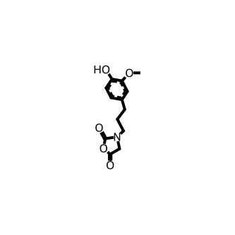 COc1cc(CCCN2CC(=O)OC2=O)ccc1O